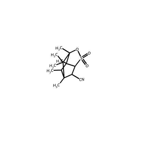 CC1C2(C)C(C#N)C3C1(C)C(C)(OS3(=O)=O)C2(C)C